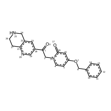 O=C(Cn1ccc(OCc2ccccc2)cc1=O)c1cnc2c(c1)CNCC2